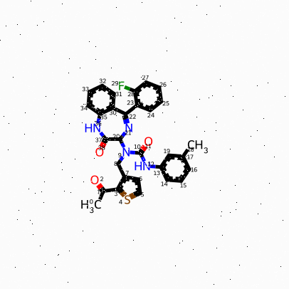 CC(=O)c1sccc1CN(C(=O)Nc1cccc(C)c1)C1N=C(c2ccccc2F)c2ccccc2NC1=O